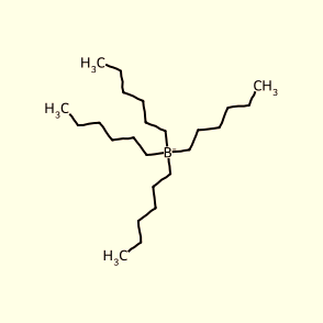 CCCCCC[B-](CCCCCC)(CCCCCC)CCCCCC